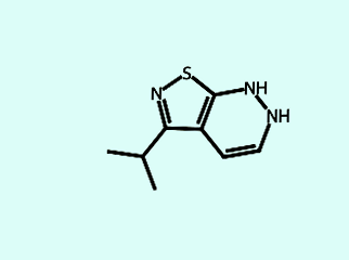 CC(C)c1nsc2c1C=CNN2